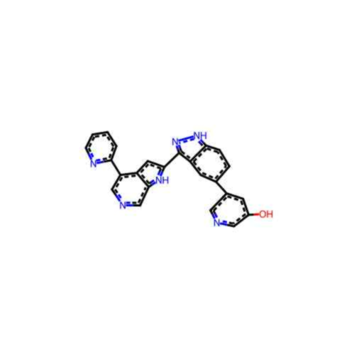 Oc1cncc(-c2ccc3[nH]nc(-c4cc5c(-c6ccccn6)cncc5[nH]4)c3c2)c1